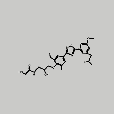 CCc1cc(-c2noc(-c3cc(CC(C)C)nc(OC)c3)n2)cc(C)c1OCC(O)CNC(=O)CO